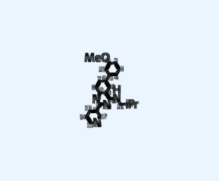 COc1cccc(-c2ccc3nc(-c4cccnc4)nc(NCC(C)C)c3c2)c1